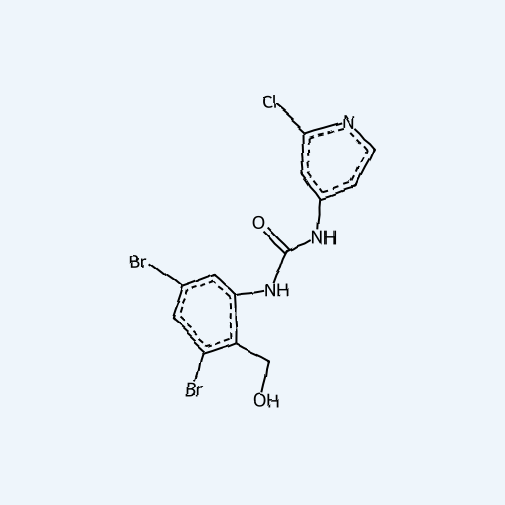 O=C(Nc1ccnc(Cl)c1)Nc1cc(Br)cc(Br)c1CO